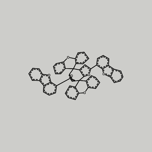 c1ccc2c(c1)Oc1ccccc1C21c2cc(-c3cccc4c3oc3ccccc34)oc2C2(c3ccccc3Oc3ccccc32)c2cc(-c3cccc4c3oc3ccccc34)oc21